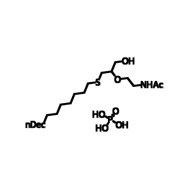 CCCCCCCCCCCCCCCCCSCC(CO)OCCNC(C)=O.O=P(O)(O)O